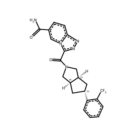 NC(=O)c1ccc2nnc(C(=O)N3C[C@H]4C[C@H](c5ccccc5C(F)(F)F)C[C@H]4C3)n2c1